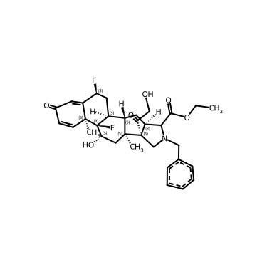 CCOC(=O)C1[C@@H]2C[C@H]3[C@@H]4C[C@H](F)C5=CC(=O)C=C[C@]5(C)[C@@]4(F)[C@@H](O)C[C@]3(C)[C@]2(C(=O)CO)CN1Cc1ccccc1